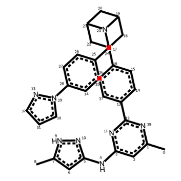 Cc1cc(Nc2cc(C)[nH]n2)nc(-c2ccc(N3CC4CC(C3)N4Cc3ccc(-n4cccn4)cn3)nc2)n1